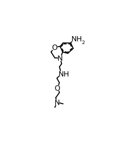 CN(C)CCOCCNCCN1CCOc2cc(N)ccc21